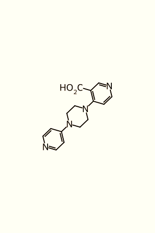 O=C(O)c1cnccc1N1CCN(c2ccncc2)CC1